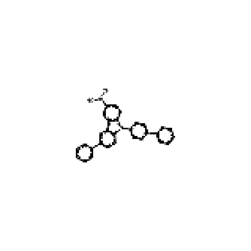 OB(O)c1ccc2c(c1)c1cc(-c3ccccc3)ccc1n2-c1ccc(-c2ccccc2)cc1